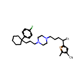 CCC(CCCN1CCN(CCCC2(c3ccc(F)cc3)CCCCC2)CC1)c1cc(C#N)c(C)s1